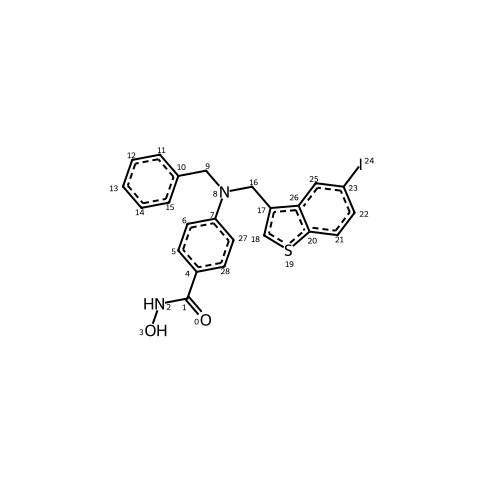 O=C(NO)c1ccc(N(Cc2ccccc2)Cc2csc3ccc(I)cc23)cc1